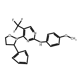 COc1ccc(Nc2ncc(C(F)(F)F)c(N3OCCC3c3ccccc3)n2)cc1